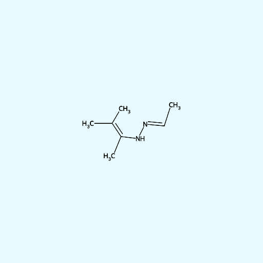 C/C=N/NC(C)=C(C)C